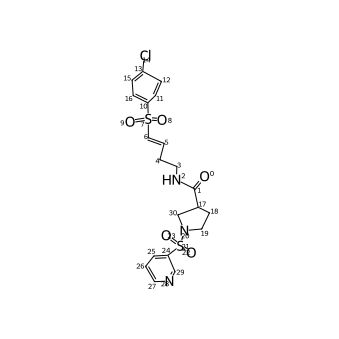 O=C(NCC/C=C/S(=O)(=O)c1ccc(Cl)cc1)C1CCN(S(=O)(=O)c2cccnc2)C1